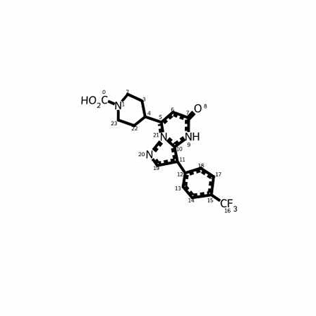 O=C(O)N1CCC(c2cc(=O)[nH]c3c(-c4ccc(C(F)(F)F)cc4)cnn23)CC1